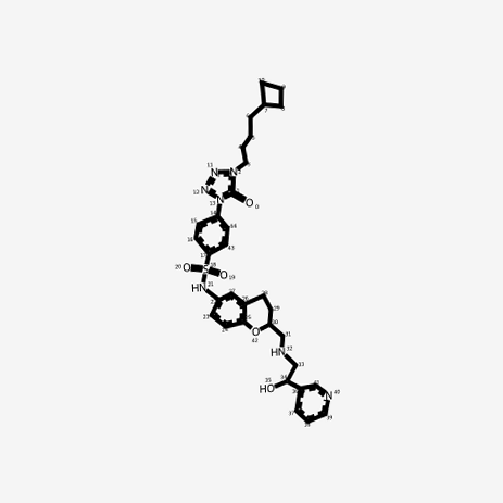 O=c1n(CCCCC2CCC2)nnn1-c1ccc(S(=O)(=O)Nc2ccc3c(c2)CCC(CNCC(O)c2cccnc2)O3)cc1